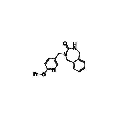 CC(C)Oc1ccc(CN2Cc3ccccc3CNC2=O)cn1